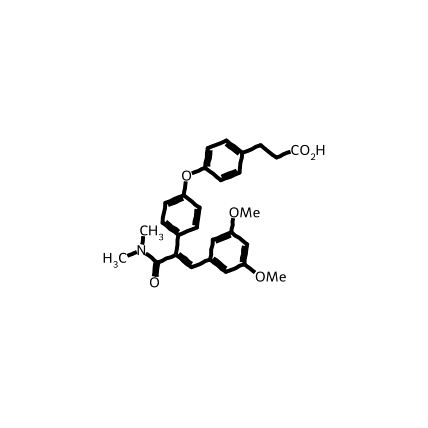 COc1cc(C=C(C(=O)N(C)C)c2ccc(Oc3ccc(CCC(=O)O)cc3)cc2)cc(OC)c1